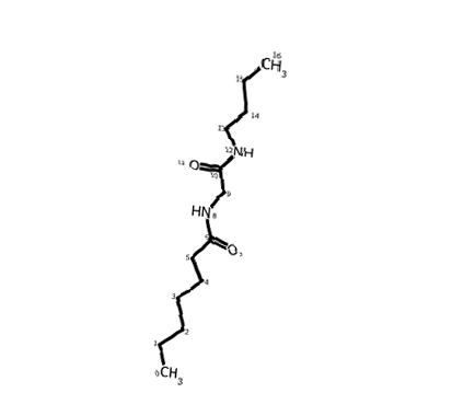 CCCCCCC(=O)NCC(=O)NCCCC